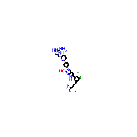 CC[C@H](C[C@@H]1CCC[C@@H](c2ccc(N3C=c4cc(-c5cc(CCC[C@H](C)N)cc(Cl)c5F)[nH]c4=NC3O)cc2)N1)NC(=N)N